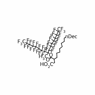 CCCCCCCCCCCCCCCCCCC(CC(=O)O)C(=O)OC(C)(C(F)(F)C(F)(F)C(F)(F)C(F)(F)C(F)(F)C(F)(F)C(F)(F)C(F)(F)F)C(F)(F)C(F)(F)C(F)(F)C(F)(F)C(F)(F)C(F)(F)C(F)(F)C(F)(F)F